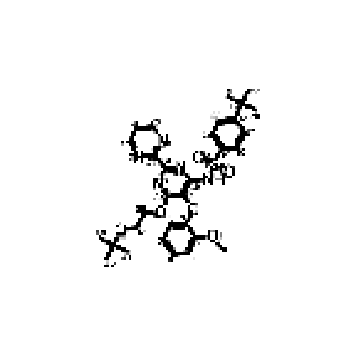 COc1ccccc1Oc1c(NS(=O)(=O)c2ccc(C(C)(C)C)cc2)nc(-c2ncccn2)nc1OCCOC(C)(C)C